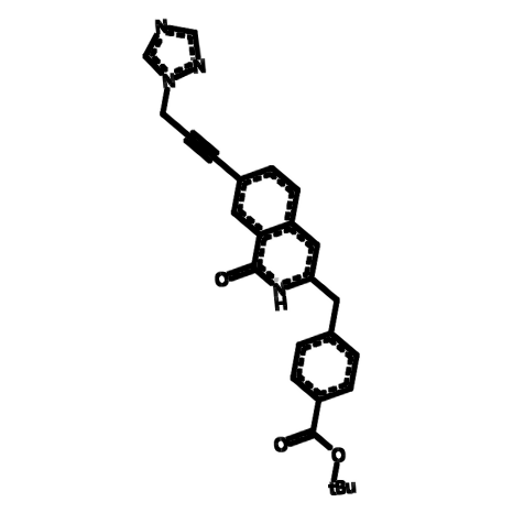 CC(C)(C)OC(=O)c1ccc(Cc2cc3ccc(C#CCn4cncn4)cc3c(=O)[nH]2)cc1